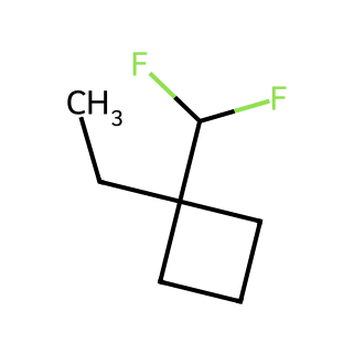 CCC1(C(F)F)CCC1